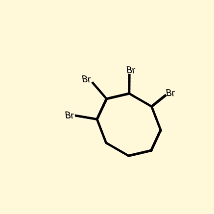 BrC1CCCCC(Br)C(Br)C1Br